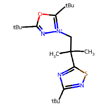 CC(C)(C)c1nsc(C(C)(C)C[n+]2nc(C(C)(C)C)oc2C(C)(C)C)n1